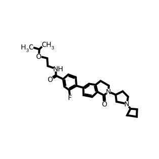 CC(C)OCCNC(=O)c1ccc(-c2ccc3c(c2)CCN(C2CCN(C4CCC4)C2)C3=O)c(F)c1